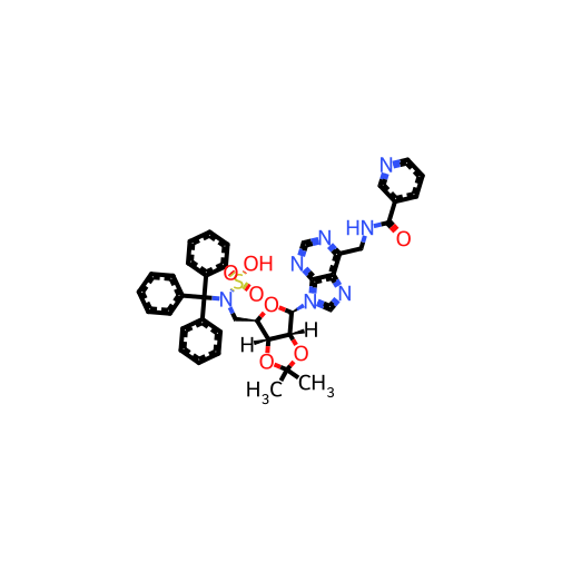 CC1(C)O[C@@H]2[C@H](O1)[C@@H](CN(C(c1ccccc1)(c1ccccc1)c1ccccc1)S(=O)(=O)O)O[C@H]2n1cnc2c(CNC(=O)c3cccnc3)ncnc21